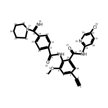 C#Cc1cc(OC)c(NC(=O)c2ccc(C(=N)N3CCCCC3)cc2)c(C(=O)Nc2ccc(Cl)cn2)c1